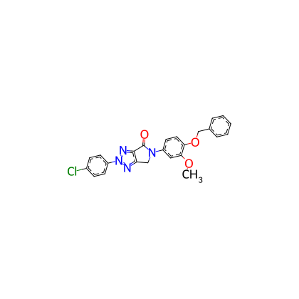 COc1cc(N2Cc3nn(-c4ccc(Cl)cc4)nc3C2=O)ccc1OCc1ccccc1